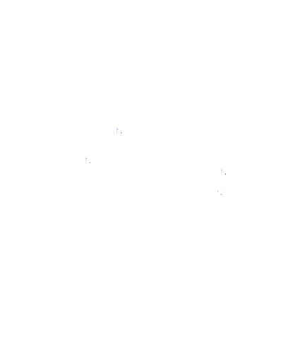 Cc1[nH]ncc1-c1cc2nc[nH]c(=O)c2s1